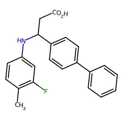 Cc1ccc(NC(CC(=O)O)c2ccc(-c3ccccc3)cc2)cc1F